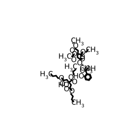 CCCCOC(=O)CC(O)(CC(=O)OCCCC)C(=O)OCCCC.CCOC(=O)CC(CC(=O)OCC)(OC(C)=O)C(=O)OCC.O=C(O)c1ccccc1O